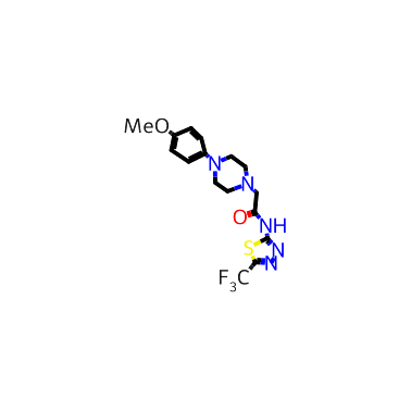 COc1ccc(N2CCN(CC(=O)Nc3nnc(C(F)(F)F)s3)CC2)cc1